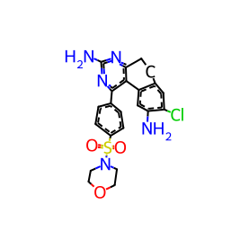 Nc1nc2c(c(-c3ccc(S(=O)(=O)N4CCOCC4)cc3)n1)-c1cc(N)c(Cl)cc1CC2